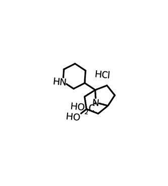 Cl.O=C(O)N1C2CCC1(C1CCCNC1)CC(O)C2